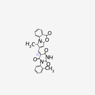 Cc1ccccc1N1C(=O)NC(=O)/C(=C\C2=CC3OC(=O)c4ccccc4N3C2C)C1=O